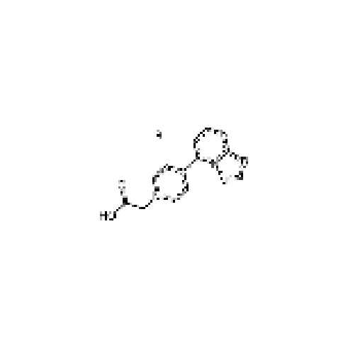 O=C(O)C[n+]1ccc(-c2ccnc3ncnn23)cc1.[Br-]